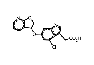 O=C(O)Cc1csc2cc(O[C@@H]3COc4ncccc43)cc(Cl)c12